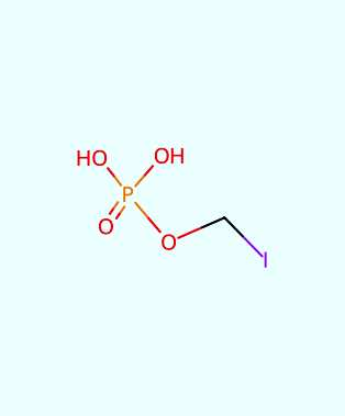 O=P(O)(O)OCI